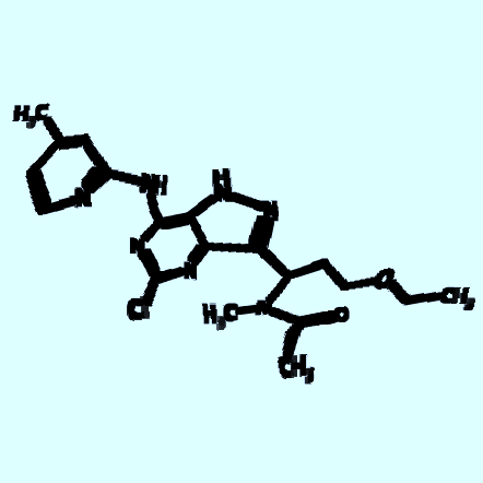 CCOCCC(c1n[nH]c2c(Nc3cc(C)ccn3)nc(Cl)nc12)N(C)C(C)=O